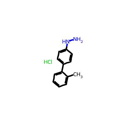 Cc1ccccc1-c1ccc(NN)cc1.Cl